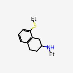 CCNC1CCc2cccc(SCC)c2C1